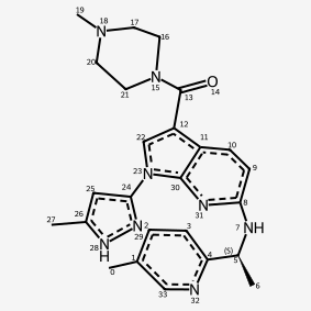 Cc1ccc([C@H](C)Nc2ccc3c(C(=O)N4CCN(C)CC4)cn(-c4cc(C)[nH]n4)c3n2)nc1